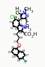 Cc1nn(C)c(C)c1-c1c(Cl)ccc2c(CCCOc3cccc4cc(F)ccc34)c(C(=O)O)[nH]c12